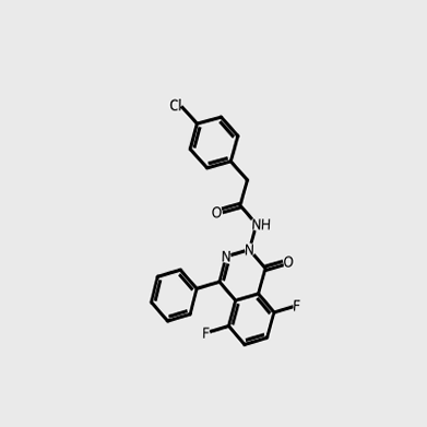 O=C(Cc1ccc(Cl)cc1)Nn1nc(-c2ccccc2)c2c(F)ccc(F)c2c1=O